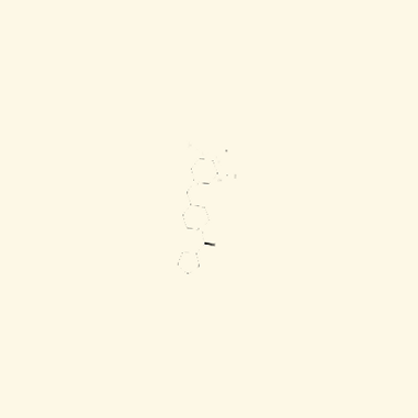 O=C(C1CCCC1)N1CCC(CN2C[C@@H](O)[C@H](O)[C@@H](O)C2)CC1